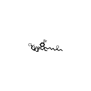 CC=C(NC12C=C1C=C(Cl)S2)N1CC(CC)(CCCCCCC(=O)CCC)c2cc(Br)ccc21